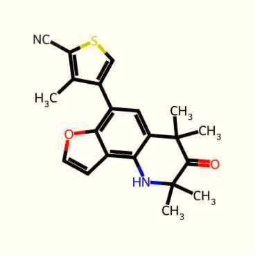 Cc1c(-c2cc3c(c4ccoc24)NC(C)(C)C(=O)C3(C)C)csc1C#N